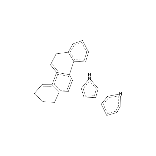 C1=c2c(ccc3c2=CCc2ccccc2-3)CCC1.c1cc[nH]c1.c1ccncc1